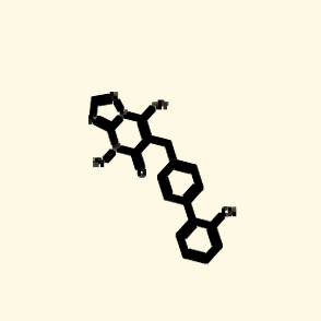 CCCc1c(Cc2ccc(-c3ccccc3C#N)cc2)c(=O)n(C(C)C)c2ncnn12